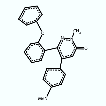 CNc1ccc(-c2cc(=O)n(C)nc2-c2ccccc2Oc2ccccc2)cc1